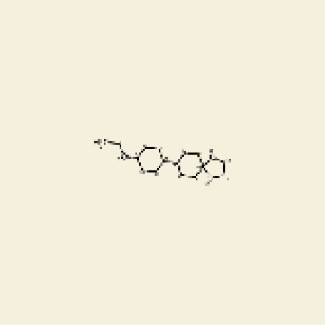 CCO[C@H]1CC[C@@H](C2CCC3(CC2)OCCO3)CC1